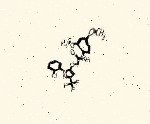 COC1=CCC(NC(=O)COc2cc(C(F)(F)F)nn2-c2ccccc2Cl)C(OC)=C1